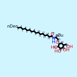 CCCCCCCCCCCCCCCCCCCCCCCCCC(=O)NC(CCCC)COC1CC(CO)C(O)C(O)C1O